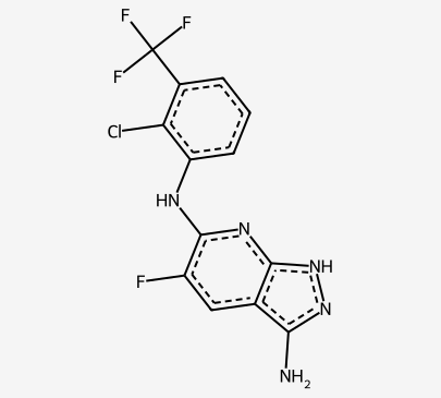 Nc1n[nH]c2nc(Nc3cccc(C(F)(F)F)c3Cl)c(F)cc12